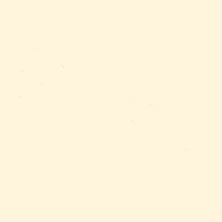 N#Cc1nc(N)n(Cc2ccc(Sc3ccnc(Nc4ccc(N5CCOCC5)cc4)n3)cc2)c1C#N